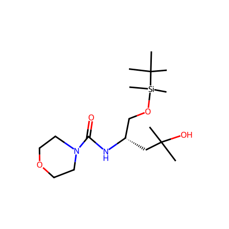 CC(C)(O)C[C@@H](CO[Si](C)(C)C(C)(C)C)NC(=O)N1CCOCC1